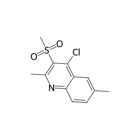 Cc1ccc2nc(C)c(S(C)(=O)=O)c(Cl)c2c1